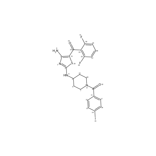 Nc1nc(NC2CCN(C(=O)c3ccc(I)cc3)CC2)sc1C(=O)c1c(F)cccc1F